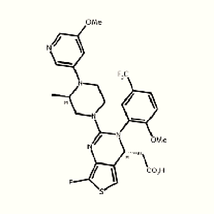 COc1cncc(N2CCN(C3=Nc4c(csc4F)[C@@H](CC(=O)O)N3c3cc(C(F)(F)F)ccc3OC)C[C@H]2C)c1